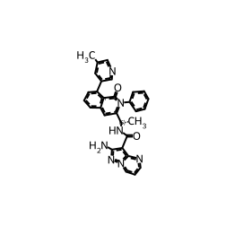 Cc1cncc(-c2cccc3cc([C@H](C)NC(=O)c4c(N)nn5cccnc45)n(-c4ccccc4)c(=O)c23)c1